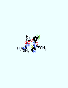 CCCCn1c(=NC(=O)c2cc(C(F)(F)F)ccc2OCC(C)OC(=O)NCCN(C)C)sc2ccncc21